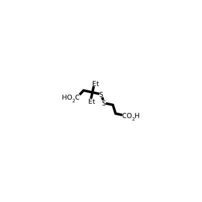 CCC(CC)(CC(=O)O)SSCCC(=O)O